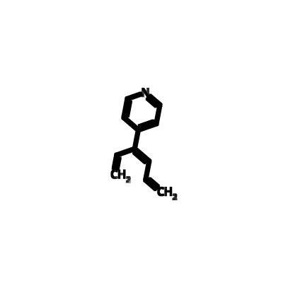 C=CC=C(C=C)c1ccncc1